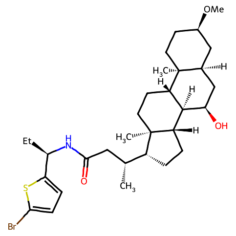 CC[C@@H](NC(=O)C[C@@H](C)[C@H]1CC[C@H]2[C@@H]3[C@H](O)C[C@@H]4C[C@H](OC)CC[C@]4(C)[C@H]3CC[C@]12C)c1ccc(Br)s1